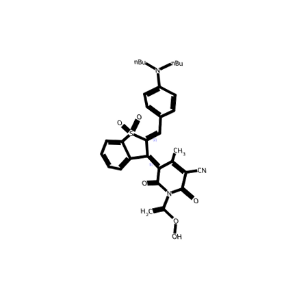 C=C(OO)N1C(=O)C(C#N)=C(C)/C(=C2\C(=C\c3ccc(N(CCCC)CCCC)cc3)S(=O)(=O)c3ccccc32)C1=O